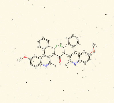 Cc1nc2ccc(OC(F)(F)F)cc2c(-c2ccccc2)c1C(CF)C(=O)C(CF)c1c(C)nc2ccc(OC(F)(F)F)cc2c1-c1ccccc1